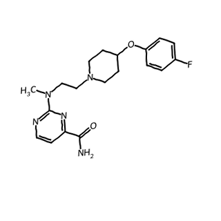 CN(CCN1CCC(Oc2ccc(F)cc2)CC1)c1nccc(C(N)=O)n1